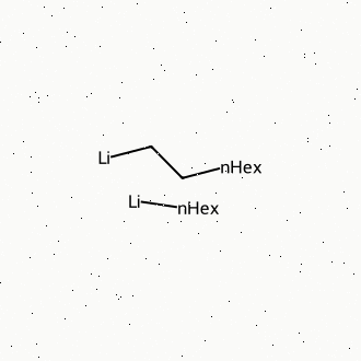 [Li][CH2]CCCCC.[Li][CH2]CCCCCCC